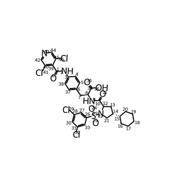 O=C(Nc1ccc(C[C@H](NC(=O)C2C[C@H](C3CCCCC3)CN2S(=O)(=O)c2cc(Cl)cc(Cl)c2)C(=O)O)cc1)c1c(Cl)cncc1Cl